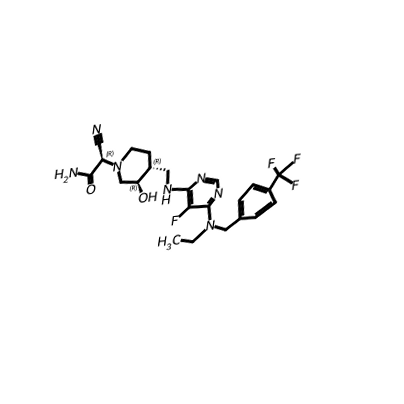 CCN(Cc1ccc(C(F)(F)F)cc1)c1ncnc(NC[C@H]2CCN([C@H](C#N)C(N)=O)C[C@@H]2O)c1F